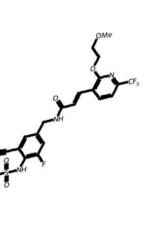 C#Cc1cc(CNC(=O)C=Cc2ccc(C(F)(F)F)nc2OCCOC)cc(F)c1NS(C)(=O)=O